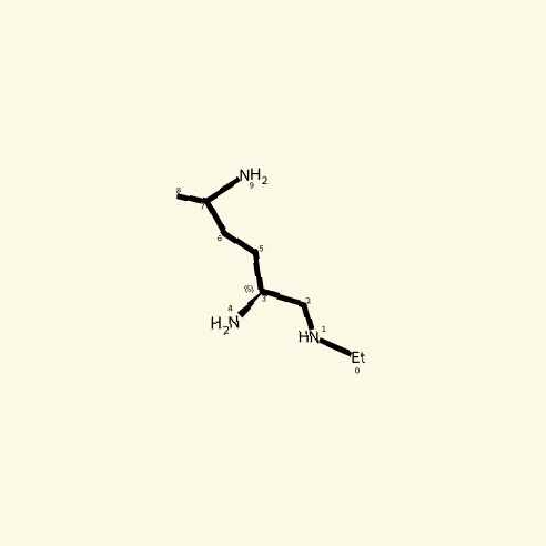 CCNC[C@@H](N)CCC(C)N